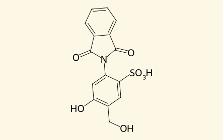 O=C1c2ccccc2C(=O)N1c1cc(O)c(CO)cc1S(=O)(=O)O